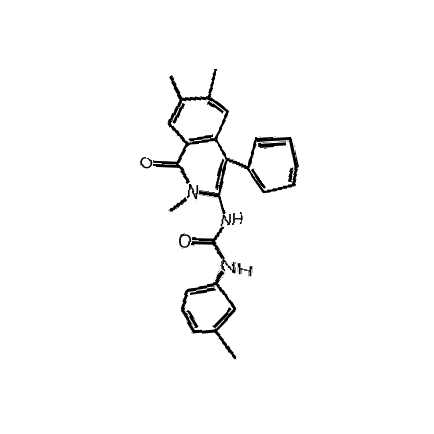 Cc1cccc(NC(=O)Nc2c(-c3ccccc3)c3cc(C)c(C)cc3c(=O)n2C)c1